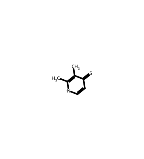 CC1=C(C)C(=S)C=C[N]1